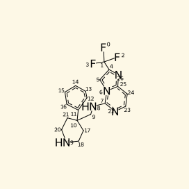 FC(F)(F)c1cn2c(NCC3(c4ccccc4)CCNCC3)nccc2n1